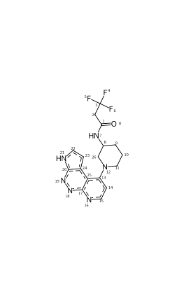 O=C(CC(F)(F)F)NC1CCCN(c2ccnc3nnc4[nH]ccc4c23)C1